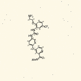 CNC(=O)c1cc(Oc2ccc(NC(=O)Nc3cc(C(F)(F)F)ccc3OCCN)cc2)ccn1